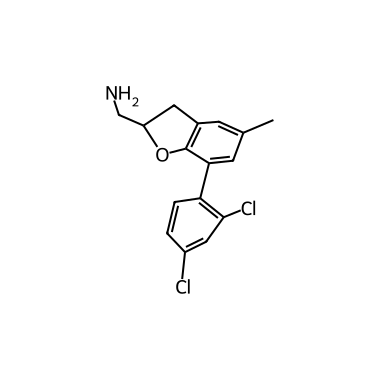 Cc1cc2c(c(-c3ccc(Cl)cc3Cl)c1)OC(CN)C2